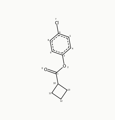 O=C(Oc1ccc(Cl)cc1)C1CCC1